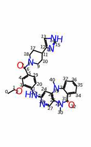 CCOc1cc(C(=O)N2CCC(c3c[nH]cn3)CC2)ccc1Nc1cc2c(cn1)N(C)C(=O)c1ccccc1N2C